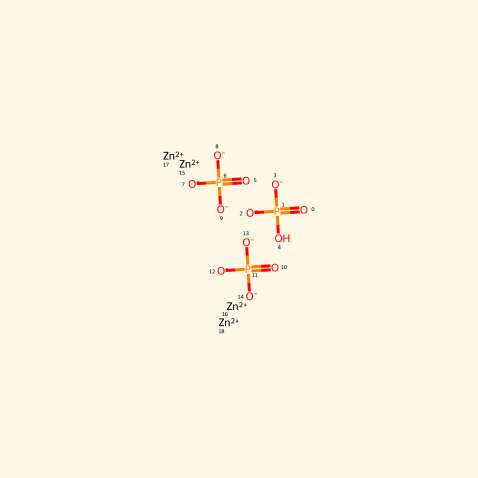 O=P([O-])([O-])O.O=P([O-])([O-])[O-].O=P([O-])([O-])[O-].[Zn+2].[Zn+2].[Zn+2].[Zn+2]